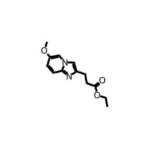 CCOC(=O)CCc1cn2cc(OC)ccc2n1